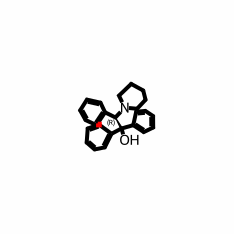 OC(c1ccccc1)(c1ccccc1)[C@@H](c1ccccc1)N1CCCCC1